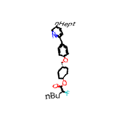 CCCCCCCc1ccc(-c2ccc(OC[C@H]3CC[C@H](OC(=O)[C@@H](F)CCCC)CC3)cc2)nc1